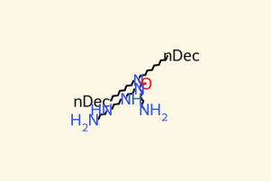 CCCCCCCCCCCCCCCCCCN(CCCCCCCCCCCCCCCCCC)C(=O)N(CCCCN)CCCNCCCCNCCCN